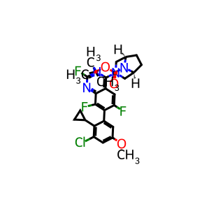 COc1cc(Cl)c(C2CC2)c(-c2c(F)cc3c(N4C[C@H]5CC[C@@H](C4)N5C(=O)OC(C)(C)C)nc(F)nc3c2F)c1